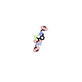 O=C(NC[C@@H]1COCCO1)c1oc2c(c1C(F)(F)F)-c1nn(CC3COCCO3)cc1CC2